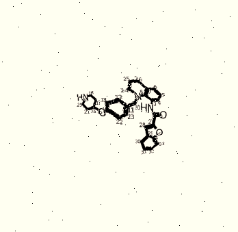 O=C(Nc1cccc2c1N(Cc1ccc(OC3CCNCC3)cc1)CCC2)c1cc2ccccc2o1